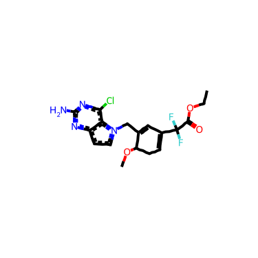 CCOC(=O)C(F)(F)C1=CCC(OC)C(Cn2ccc3nc(N)nc(Cl)c32)=C1